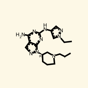 C[CH]CN1CCC[C@@H](n2ncc3c(N)nc(Nc4cnn(CC)c4)nc32)C1